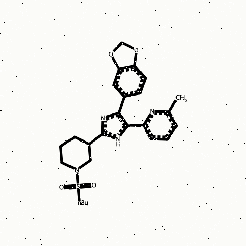 CCCCS(=O)(=O)N1CCCC(c2nc(-c3ccc4c(c3)OCO4)c(-c3cccc(C)n3)[nH]2)C1